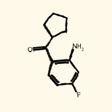 Nc1cc(F)ccc1C(=O)C1CCCC1